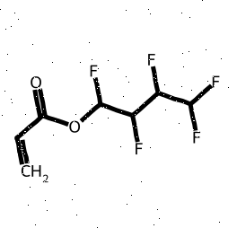 C=CC(=O)OC(F)C(F)C(F)C(F)F